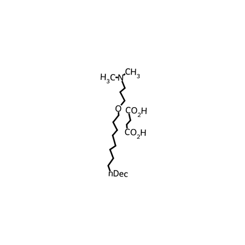 CCCCCCCCCCCCCCCCCCOCCCN(C)C.O=C(O)CCC(=O)O